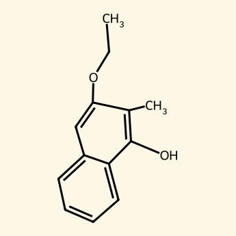 CCOc1cc2ccccc2c(O)c1C